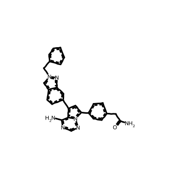 NC(=O)Cc1ccc(-c2cc(-c3ccc4cn(Cc5ccccc5)nc4c3)c3c(N)ncnn23)cc1